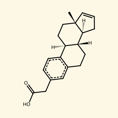 C[C@@]12C=CC[C@H]1[C@@H]1CCc3cc(CC(=O)O)ccc3[C@H]1CC2